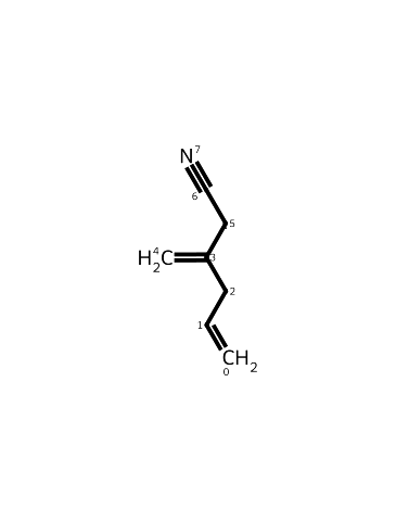 C=CCC(=C)[CH]C#N